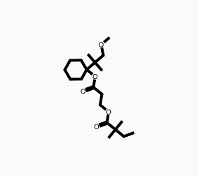 CCC(C)(C)C(=O)OCCC(=O)OC1(C(C)(C)COC)CCCCC1